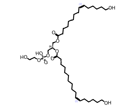 O=C(CCCCCCC/C=C\CCCCCO)OC[C@H](COP(=O)(O)OCCO)OC(=O)CCCCCCCCC/C=C\CCCCCO